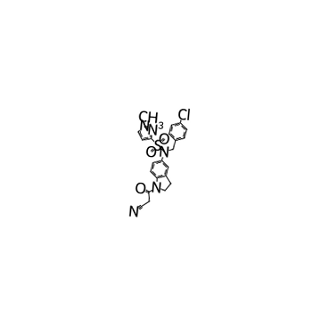 Cn1ccc(S(=O)(=O)N(Cc2ccc(Cl)cc2)c2ccc3c(c2)CCN3C(=O)CC#N)n1